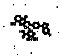 Cc1nc2n(c(=O)c1CCN1CCC(c3noc4cc(F)ccc34)CC1)CCC[C@H]2O.O=C(O)C(O)C(O)C(=O)O